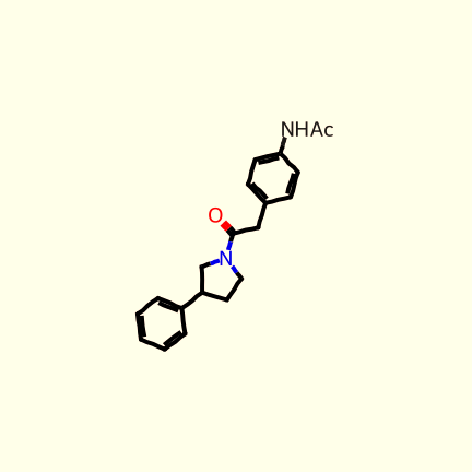 CC(=O)Nc1ccc(CC(=O)N2CCC(c3ccccc3)C2)cc1